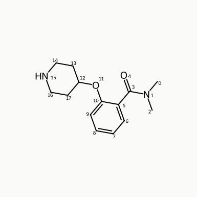 CN(C)C(=O)c1ccccc1OC1CCNCC1